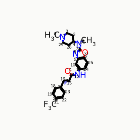 CN1CCC(N(C)c2nc3cc(NC(=O)/C=C/c4ccc(C(F)(F)F)cc4)ccc3o2)CC1